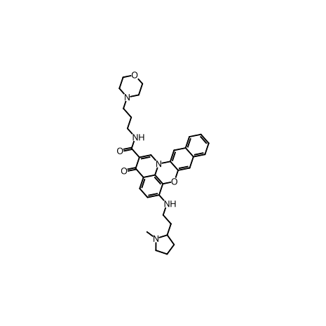 CN1CCCC1CCNc1ccc2c(=O)c(C(=O)NCCCN3CCOCC3)cn3c2c1Oc1cc2ccccc2cc1-3